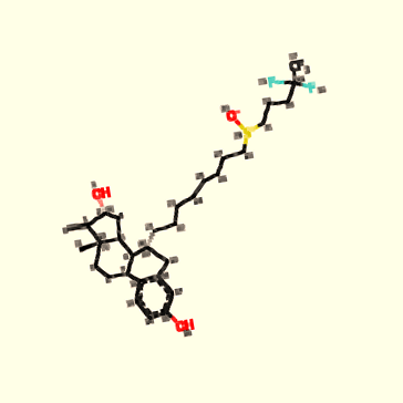 C=C1[C@H](O)CC2C3C(CC[C@]12C)c1ccc(O)cc1C[C@H]3CCCCCCCC[S+]([O-])CCCC(F)(F)C(F)(F)F